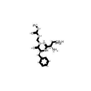 CC(C)OC(=O)OCOC(=O)[C@H](Cc1ccccc1)NC(=O)[C@@H](N)CC(=O)O.Cl